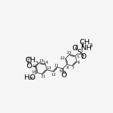 CNS(=O)(=O)c1ccc(C(=O)/C=C/c2ccc(OC)c(O)c2)cc1